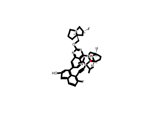 CC(C)[Si](C#Cc1c(F)ccc2cc(O)cc(-c3cnc4c(N5C[C@H]6CC[C@@H](C5)N6)nc(OC[C@@]56CCCN5C[C@H](F)C6)nc4c3)c12)(C(C)C)C(C)C